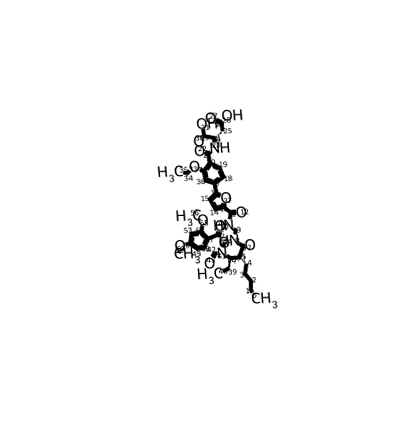 CCCCC[C@@H](C(=O)NCNC(=O)c1ccc(-c2ccc(C(=O)N[C@@H](CC(=O)O)C(=O)O)c(OCC)c2)o1)[C@@H](CC)N(C=O)OC(=O)c1ccc(OC)cc1OC